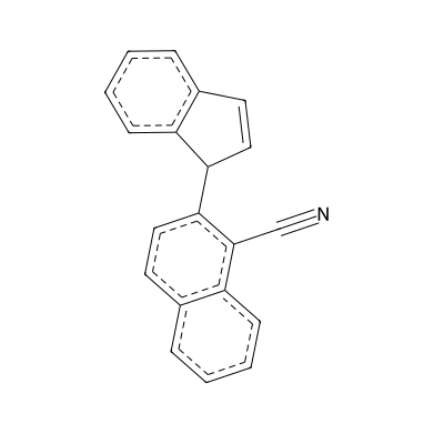 N#Cc1c(C2C=Cc3ccccc32)ccc2ccccc12